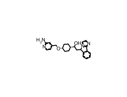 Nc1cc(CO[C@H]2CC[C@H](C(O)CC3c4ccccc4-c4nccn43)CC2)ccn1